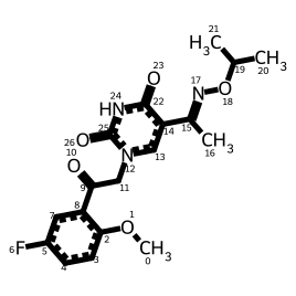 COc1ccc(F)cc1C(=O)Cn1cc(C(C)=NOC(C)C)c(=O)[nH]c1=O